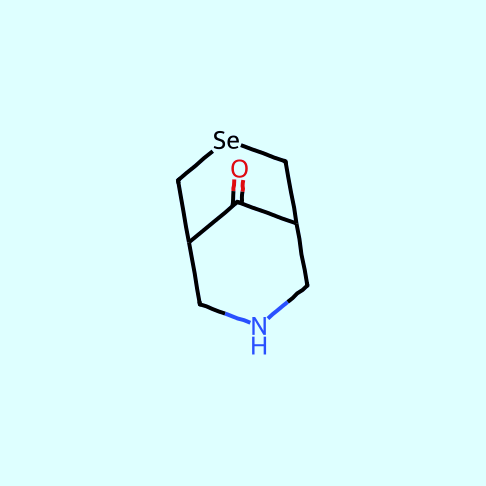 O=C1C2CNCC1C[Se]C2